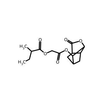 CCC(C)C(=O)OCC(=O)OC1C2CC3C(=O)OC1C3C2